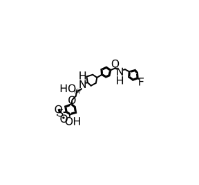 CS(=O)(=O)c1cc(OC[C@@H](O)CNC2CCC(c3ccc(C(=O)NCc4ccc(F)cc4)cc3)CC2)ccc1O